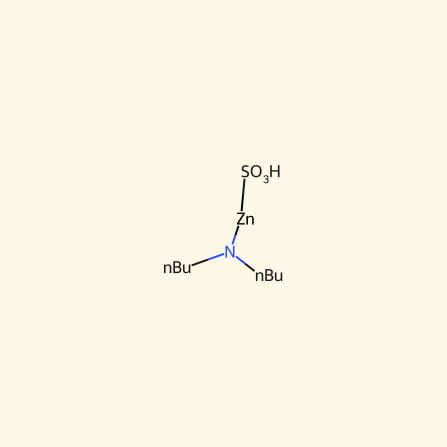 CCCC[N](CCCC)[Zn][S](=O)(=O)O